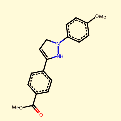 COC(=O)c1ccc(C2=CCN(c3ccc(OC)cc3)N2)cc1